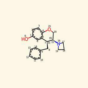 Oc1ccc2c(c1)[C@H](Cc1ccccc1)[C@H](N1CCC1)CO2